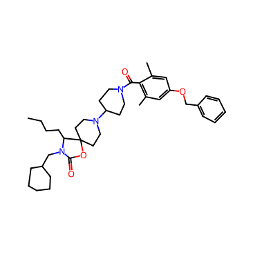 CCCCC1N(CC2CCCCC2)C(=O)OC12CCN(C1CCN(C(=O)c3c(C)cc(OCc4ccccc4)cc3C)CC1)CC2